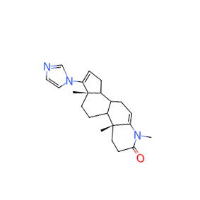 CN1C(=O)CC[C@@]2(C)C1=CCC1C2CC[C@]2(C)C(n3ccnc3)=CCC12